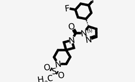 CS(=O)(=O)N1CCC2(CC1)CN(C(=O)N1N=CC[C@H]1C1CC(F)CC(F)C1)C2